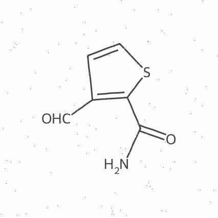 NC(=O)c1sccc1C=O